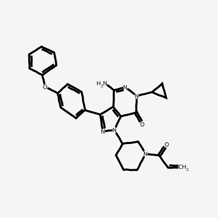 C=CC(=O)N1CCCC(n2nc(-c3ccc(Oc4ccccc4)cc3)c3c(N)nn(C4CC4)c(=O)c32)C1